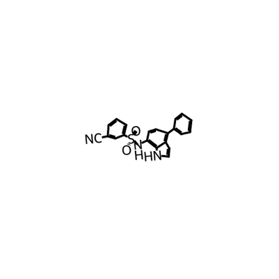 N#Cc1cccc(S(=O)(=O)Nc2ccc(-c3ccccc3)c3cc[nH]c23)c1